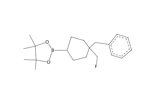 CC1(C)OB(C2CCC(CF)(Cc3ccccc3)CC2)OC1(C)C